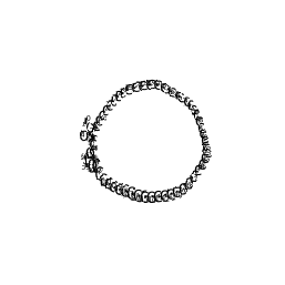 CCOC(=O)C1(C)CCCCCCCCCCCCCCCCCCCCCCCCCCCCCCCCCCCCCCCCCCCCCCCCC2(CC1)OCCO2